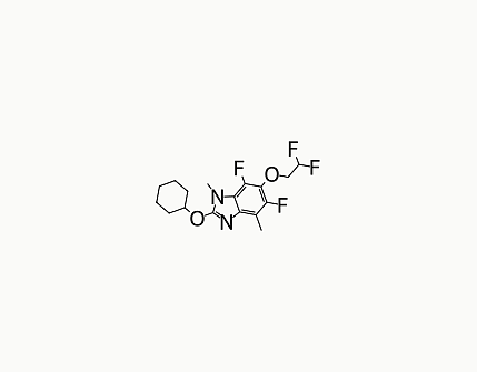 Cc1c(F)c(OCC(F)F)c(F)c2c1nc(OC1CCCCC1)n2C